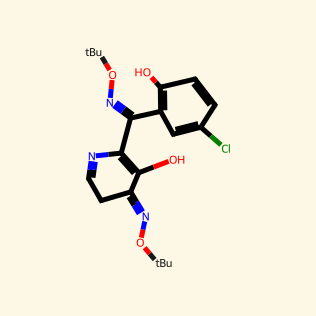 CC(C)(C)ON=C1CC=NC(C(=NOC(C)(C)C)c2cc(Cl)ccc2O)=C1O